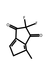 CC1=C2C(=O)C(F)(F)C(=O)C2=CC1